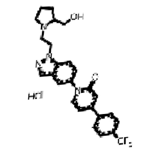 Cl.O=c1cc(-c2ccc(C(F)(F)F)cc2)ccn1-c1ccc2c(cnn2CCN2CCCC2CO)c1